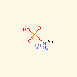 O=P([O-])([O-])O.[NH4+].[NH4+].[Sn]